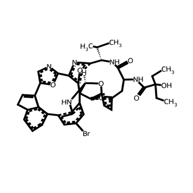 CCC(O)(CC)C(=O)NC1Cc2ccc3c(c2)C24c5cc(Br)cc(c5N[C@H]2O3)-c2cccc3c2C(=CC3)c2cnc(o2)-c2nc(oc24)[C@H](C(C)C)NC1=O